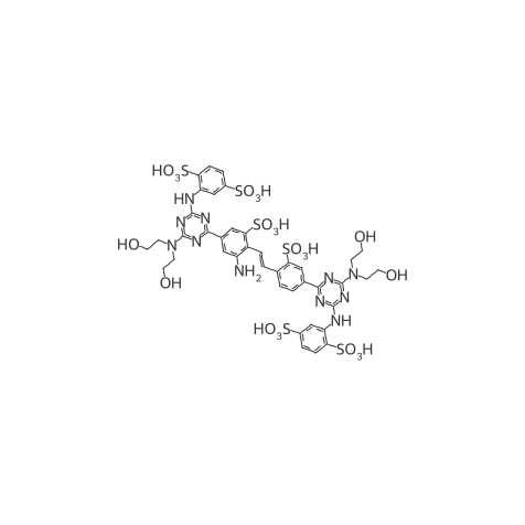 Nc1cc(-c2nc(Nc3cc(S(=O)(=O)O)ccc3S(=O)(=O)O)nc(N(CCO)CCO)n2)cc(S(=O)(=O)O)c1C=Cc1ccc(-c2nc(Nc3cc(S(=O)(=O)O)ccc3S(=O)(=O)O)nc(N(CCO)CCO)n2)cc1S(=O)(=O)O